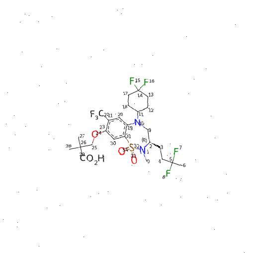 CN1[C@H](CCC(C)(F)F)CN(C2CCC(F)(F)CC2)c2cc(C(F)(F)F)c(OCC(C)(C)C(=O)O)cc2S1(=O)=O